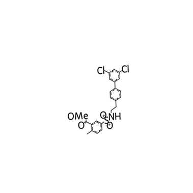 COC(=O)c1cc(S(=O)(=O)NCCc2ccc(-c3cc(Cl)cc(Cl)c3)cc2)ccc1C